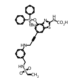 C=CS(=O)(=O)NCc1cccc(NCC#Cc2cc(O[Si](c3ccccc3)(c3ccccc3)C(C)(C)C)c3nc(NC(=O)O)sc3c2)c1